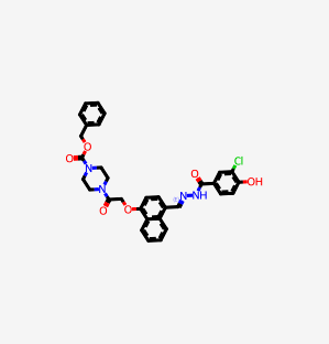 O=C(N/N=C/c1ccc(OCC(=O)N2CCN(C(=O)OCc3ccccc3)CC2)c2ccccc12)c1ccc(O)c(Cl)c1